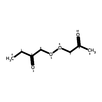 CCC(=O)COOCC(C)=O